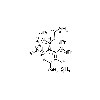 CC(C)N(C(C)C)[SiH](CC[SiH3])N([SiH](CC[SiH3])N(C(C)C)C(C)C)[SiH](CC[SiH3])N(C(C)C)C(C)C